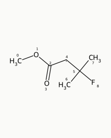 COC(=O)[CH]C(C)(C)F